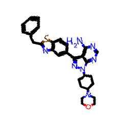 Nc1ncnc2c1c(-c1ccc3sc(Cc4ccccc4)nc3c1)nn2C1CCC(N2CCOCC2)CC1